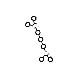 c1ccc(-c2nc(-c3ccc(-c4ccc(-c5ccc(-c6nc(-c7ccccc7)c7c(n6)sc6ccccc67)cc5)cc4)cc3)nc3sc4ccccc4c23)cc1